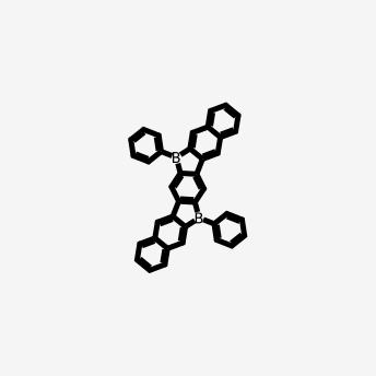 c1ccc(B2c3cc4c(cc3-c3cc5ccccc5cc32)B(c2ccccc2)c2cc3ccccc3cc2-4)cc1